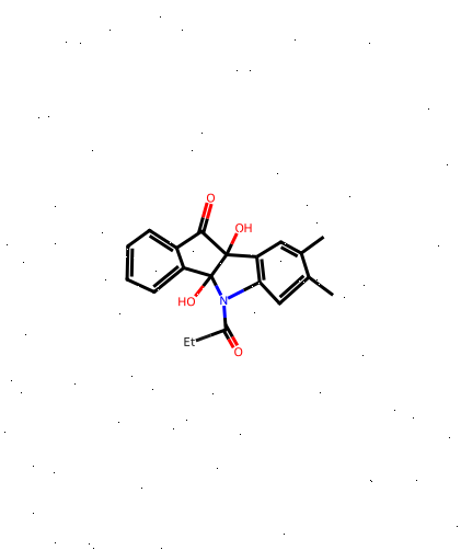 CCC(=O)N1c2cc(C)c(C)cc2C2(O)C(=O)c3ccccc3C12O